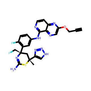 C#CCOc1cnc2c(Nc3ccc(F)c([C@]4(CF)C[C@](C)(c5c[nH]nn5)SC(N)=N4)c3)nccc2n1